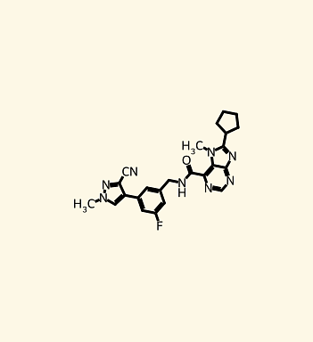 Cn1cc(-c2cc(F)cc(CNC(=O)c3ncnc4nc(C5CCCC5)n(C)c34)c2)c(C#N)n1